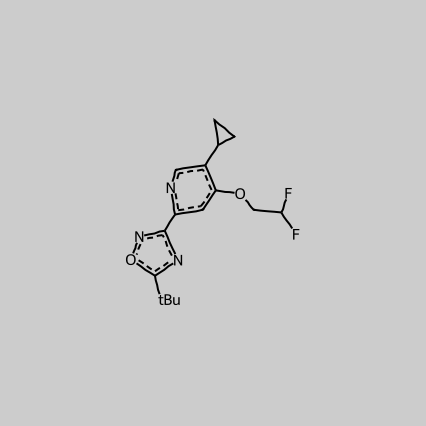 CC(C)(C)c1nc(-c2cc(OCC(F)F)c(C3CC3)cn2)no1